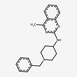 Cc1nc(NC2CCN(Cc3ccccc3)CC2)nc2ccccc12